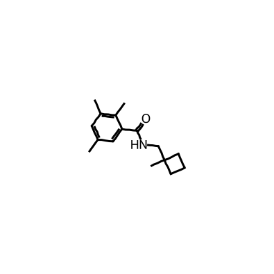 Cc1cc(C)c(C)c(C(=O)NCC2(C)CCC2)c1